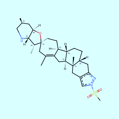 CC1=C2C[C@H]3[C@@H](CC[C@@H]4Cc5nn(S(C)(=O)=O)cc5C[C@@]43C)[C@@H]2CC[C@@]2(C1)O[C@@H]1C[C@H](C)CN[C@H]1[C@H]2C